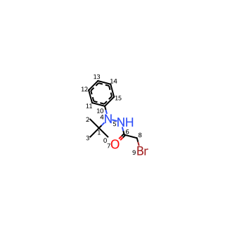 CC(C)(C)N(NC(=O)CBr)c1ccccc1